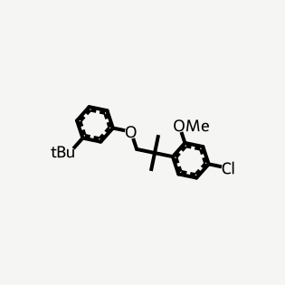 COc1cc(Cl)ccc1C(C)(C)COc1cccc(C(C)(C)C)c1